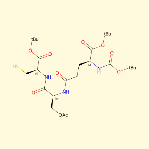 CC(=O)OC[C@H](NC(=O)CC[C@H](NC(=O)OC(C)(C)C)C(=O)OC(C)(C)C)C(=O)N[C@@H](CS)C(=O)OC(C)(C)C